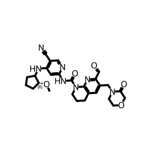 CO[C@@H]1CCCC1Nc1cc(NC(=O)N2CCCc3cc(CN4CCOCC4=O)c(C=O)nc32)ncc1C#N